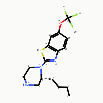 CCCC[C@@H]1CNCCN1c1nc2ccc(OC(F)(F)F)cc2s1